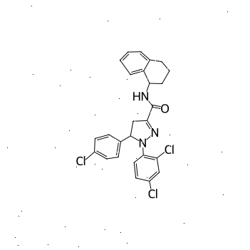 O=C(NC1CCCc2ccccc21)C1=NN(c2ccc(Cl)cc2Cl)C(c2ccc(Cl)cc2)C1